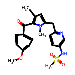 COc1ccc(C(=O)c2c(C)cc(Cc3ccc(NS(C)(=O)=O)cn3)n2C)cc1